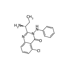 CC[C@H](N)c1nc2cccc(Cl)c2c(=O)n1Nc1ccccc1